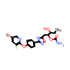 CC(C)(C)CC(O)C(Cc1nc(-c2ccc(Oc3ncc(Br)cc3F)cc2)no1)OC(N)=O